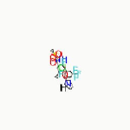 O=C(NS(=O)(=O)C1CC1)c1cc(C2CC2)c(OC[C@H]2CC3CC[C@H](C2)N3Cc2cc(C(F)(F)F)cc(Cl)c2F)cc1F